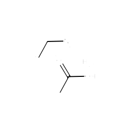 CC(=O)O.CCN.O